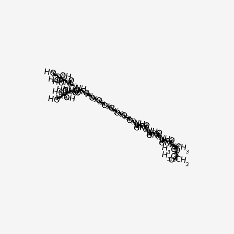 CC(C)(C=O)CCOC(C)(C)CCC(=O)NCC(=O)NCC(=O)NCC(=O)NCC(=O)NCC(=O)NCCOCCOCCOCCOCCOCCOCCOCCOCCC(=O)N[C@@H](CCC(=O)NC[C@H](O)[C@@H](O)[C@H](O)CCO)C(=O)NC[C@H](O)[C@@H](O)[C@H](O)CCO